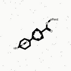 CCCCCOC(=O)c1ccc(C23CCC(CCC)(CC2)CC3)cc1